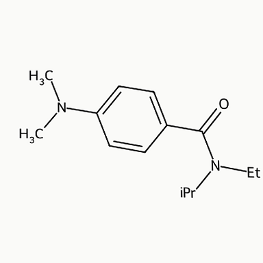 [CH2]CN(C(=O)c1ccc(N(C)C)cc1)C(C)C